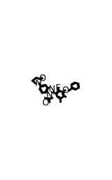 Cc1cc(-c2nc3cc(N4CCCC4=O)ccc3n2C2(C)COC2)c(F)c(OCc2ccccc2)c1C